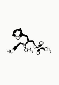 C#CCN(C)C(COS(C)(=O)=O)Cc1ccco1